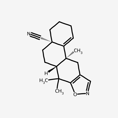 CC1(C)c2oncc2C[C@]2(C)C3=CCCC[C@]3(C#N)CC[C@@H]12